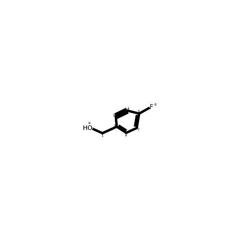 OCc1c#cc(F)cc1